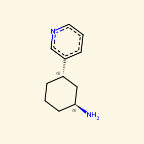 N[C@H]1CCC[C@H](c2cccnc2)C1